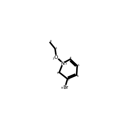 CCON1C=CC=C(Br)C1